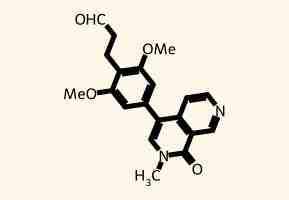 COc1cc(-c2cn(C)c(=O)c3cnccc23)cc(OC)c1CCC=O